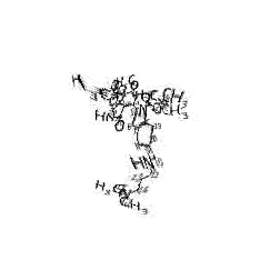 COc1cc(-c2cc3cc(CNCCCN(C)C)ccc3n2C(=O)OC(C)(C)C)c2c(c1OS(C)(=O)=O)CNC2=O